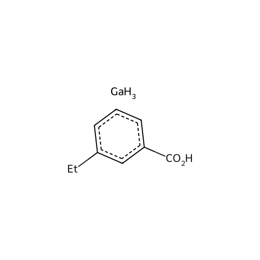 CCc1cccc(C(=O)O)c1.[GaH3]